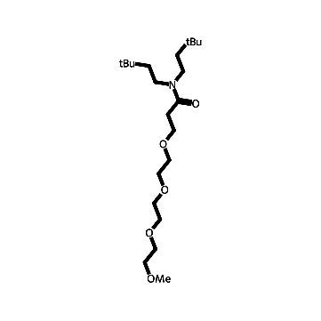 COCCOCCOCCOCCC(=O)N(CCC(C)(C)C)CCC(C)(C)C